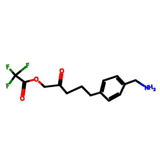 NCc1ccc(CCCC(=O)COC(=O)C(F)(F)F)cc1